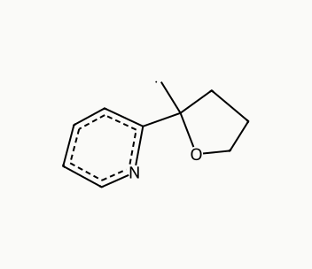 [CH2]C1(c2ccccn2)CCCO1